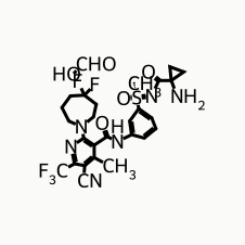 Cc1c(C#N)c(C(F)(F)F)nc(N2CCCC(F)(F)CC2)c1C(=O)Nc1cccc([S@@](C)(=O)=NC(=O)C2(N)CC2)c1.O=CO